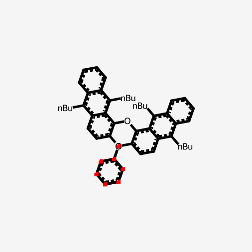 CCCCc1c2ccccc2c(CCCC)c2c(Oc3c(Oc4ccccc4)ccc4c(CCCC)c5ccccc5c(CCCC)c34)c(Oc3ccccc3)ccc12